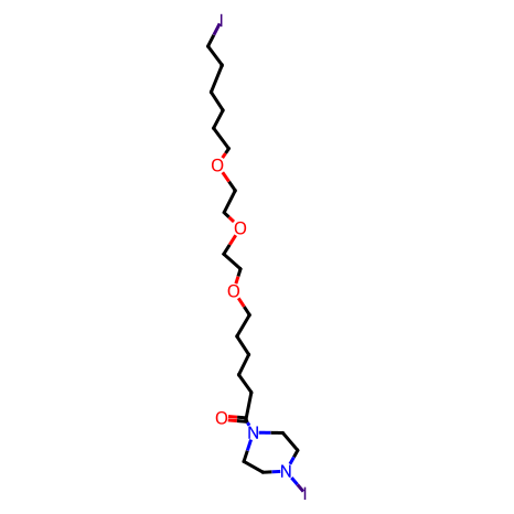 O=C(CCCCCOCCOCCOCCCCCCI)N1CCN(I)CC1